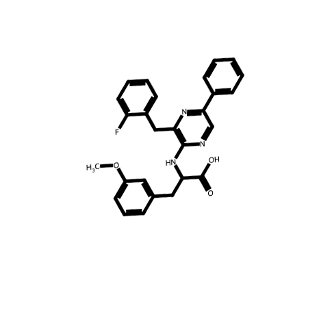 COc1cccc(CC(Nc2ncc(-c3ccccc3)nc2Cc2ccccc2F)C(=O)O)c1